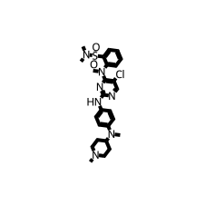 CN1CCC(N(C)c2ccc(Nc3ncc(Cl)c(N(C)c4ccccc4S(=O)(=O)N(C)C)n3)cc2)CC1